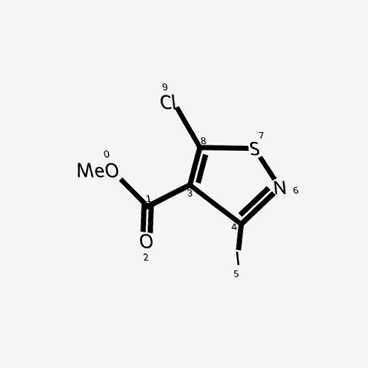 COC(=O)c1c(I)nsc1Cl